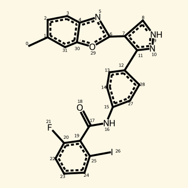 Cc1ccc2nc(-c3c[nH]nc3-c3ccc(NC(=O)c4c(F)cccc4I)cc3)oc2c1